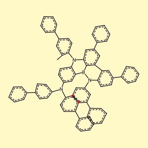 Cc1cc(-c2ccccc2)ccc1N1c2ccc(N(c3ccc(-c4ccccc4)cc3)c3ccc(-c4ccccc4)cc3)cc2B2c3c(cc(-c4ccccc4)cc31)-c1cc(-c3ccccc3)ccc1N2c1cccc(-c2ccccc2)c1